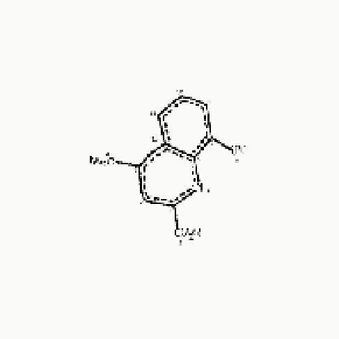 COc1cc(C(=O)O)nc2c(C(C)C)cccc12